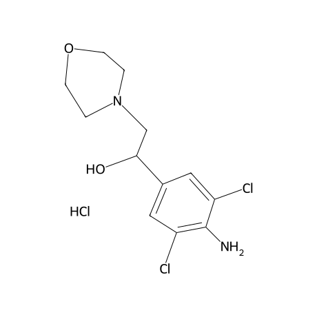 Cl.Nc1c(Cl)cc(C(O)CN2CCOCC2)cc1Cl